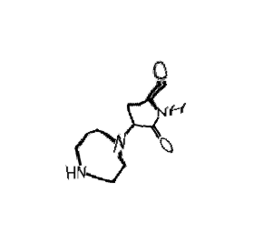 O=C1CC(N2CCNCC2)C(=O)N1